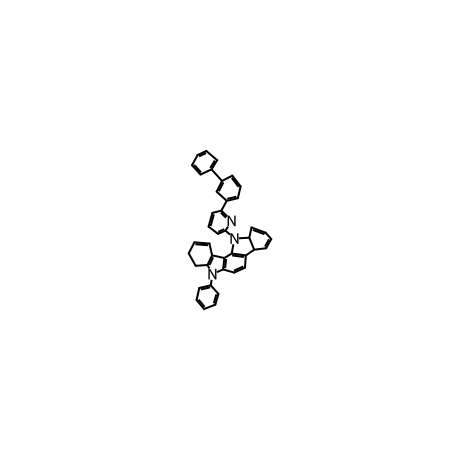 C1=CC2c3ccc4c(c5c(n4-c4ccccc4)CCC=C5)c3N(c3cccc(-c4cccc(-c5ccccc5)c4)n3)C2C=C1